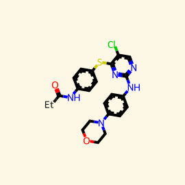 CCC(=O)Nc1ccc(Sc2nc(Nc3ccc(N4CCOCC4)cc3)ncc2Cl)cc1